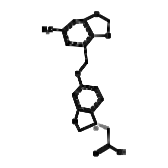 Cc1cc(COc2ccc3c(c2)OC[C@H]3CC(=O)O)c2c(c1)OCO2